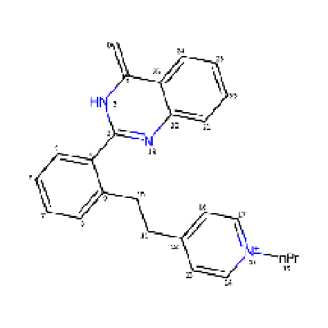 C=C1NC(c2ccccc2CCc2cc[n+](CCC)cc2)=Nc2ccccc21